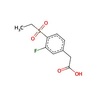 CCS(=O)(=O)c1ccc(CC(=O)O)cc1F